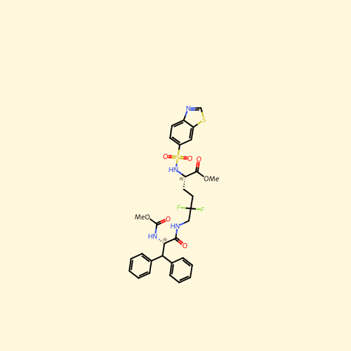 COC(=O)N[C@H](C(=O)NCC(F)(F)CC[C@H](NS(=O)(=O)c1ccc2ncsc2c1)C(=O)OC)C(c1ccccc1)c1ccccc1